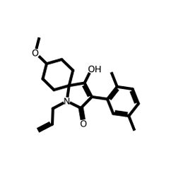 C=CCN1C(=O)C(c2cc(C)ccc2C)=C(O)C12CCC(OC)CC2